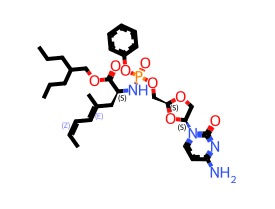 C/C=C\C=C(/C)C[C@H](NP(=O)(OC[C@H]1OC[C@@H](n2ccc(N)nc2=O)O1)Oc1ccccc1)C(=O)OCC(CCC)CCC